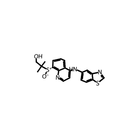 CC(C)(CO)[S+]([O-])c1cccc2c(Nc3ccc4scnc4c3)ccnc12